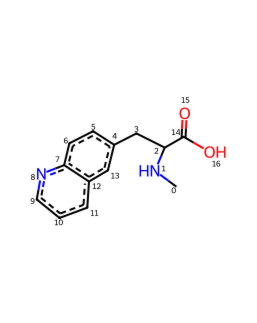 CNC(Cc1ccc2ncccc2c1)C(=O)O